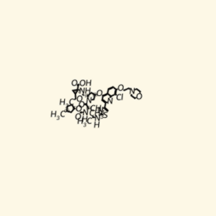 CCC1C[C@]1(NC(=O)[C@@H]1C[C@@H](Oc2cc(-c3csc(NC(C)C)n3)nc3c(Cl)c(OCCN4CCOCC4)ccc23)CN1C(=O)[C@H](C)NC(=O)O[C@H]1CC[C@H](C)C1)C(=O)O